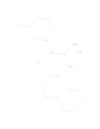 CN(C(=N)Nc1cccc2ccccc12)c1cccc(Br)c1.Cl